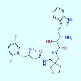 NC(CC(=O)NCC1(CNC(=O)C(O)C(N)Cc2c[nH]c3ccccc23)CCCC1)Cc1cc(F)ccc1F